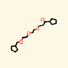 O=C(CCOCCOCCOCC1CCCC1)C1CCCC1